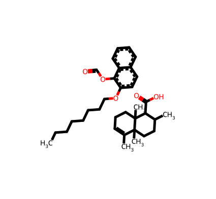 CC1=CCCC2(C)C(C(=O)O)C(C)CCC12C.CCCCCCCCOc1ccc2ccccc2c1OC=O